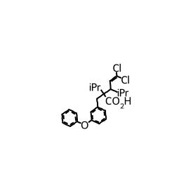 CC(C)C(C=C(Cl)Cl)C(Cc1cccc(Oc2ccccc2)c1)(C(=O)O)C(C)C